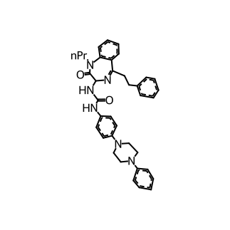 CCCN1C(=O)C(NC(=O)Nc2ccc(N3CCN(c4ccccc4)CC3)cc2)N=C(CCc2ccccc2)c2ccccc21